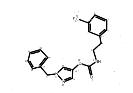 O=C(NCCc1cccc(C(F)(F)F)c1)Oc1cnn(Cc2ccccc2)c1